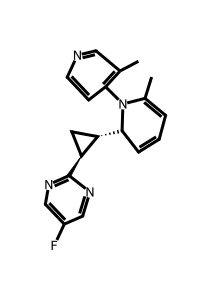 CC1=CC=CC([C@H]2C[C@@H]2c2ncc(F)cn2)N1c1ccncc1C